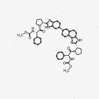 COC(=O)N[C@H](C(=O)N1CCC[C@H]1c1nc2ccc(-c3ccc4c(ccc5[nH]c([C@@H]6CCCN6C(=O)[C@@H](NC(=O)OC)c6ccccc6)nc54)c3)cc2[nH]1)c1ccccc1